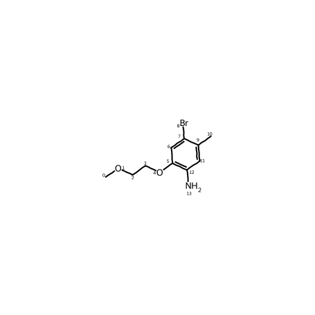 COCCOc1cc(Br)c(C)cc1N